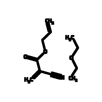 C=CCOC(=O)C(=C)C#N.CCOCC